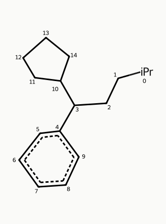 CC(C)CCC(c1ccccc1)C1CCCC1